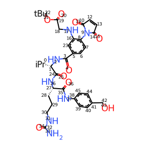 CC(C)[C@H](NC(=O)c1ccc(N2C(=O)C=CC2=O)c(NCC(=O)OC(C)(C)C)c1)C(=O)N[C@@H](CCCNC(N)=O)C(=O)Nc1ccc(CO)cc1